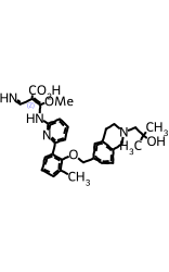 CO/C(Nc1cccc(-c2cccc(C)c2OCc2ccc3c(c2)CCN(CC(C)(C)O)C3)n1)=C(/C=N)C(=O)O